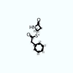 O=C1C[C@H](SC(=O)Cc2ccccc2)N1